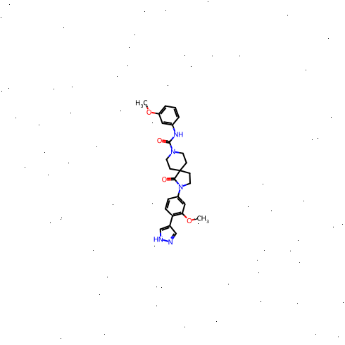 COc1cccc(NC(=O)N2CCC3(CC2)CCN(c2ccc(-c4cn[nH]c4)c(OC)c2)C3=O)c1